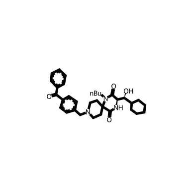 CCCCN1C(=O)[C@@H]([C@H](O)C2CCCCC2)NC(=O)C12CCN(Cc1ccc(C(=O)c3ccccc3)cc1)CC2